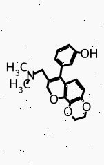 CN(C)CC1=C(c2cccc(O)c2)c2ccc3c(c2OC1)OCCO3